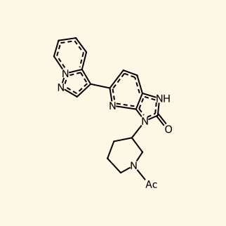 CC(=O)N1CCCC(n2c(=O)[nH]c3ccc(-c4cnn5ccccc45)nc32)C1